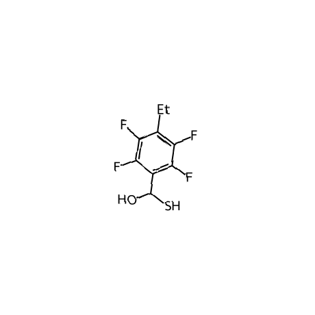 CCc1c(F)c(F)c(C(O)S)c(F)c1F